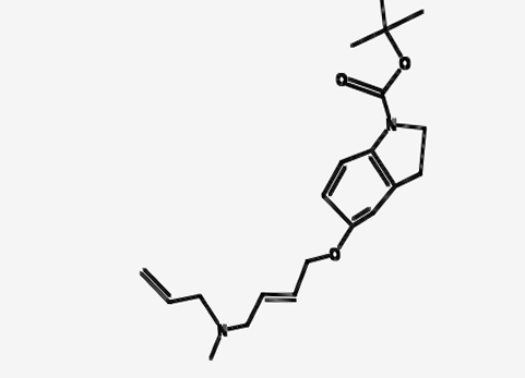 C=CCN(C)C/C=C/COc1ccc2c(c1)CCN2C(=O)OC(C)(C)C